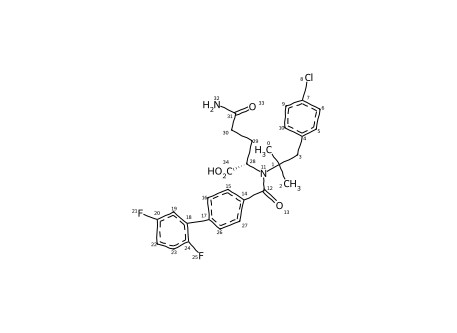 CC(C)(Cc1ccc(Cl)cc1)N(C(=O)c1ccc(-c2cc(F)ccc2F)cc1)[C@@H](CCC(N)=O)C(=O)O